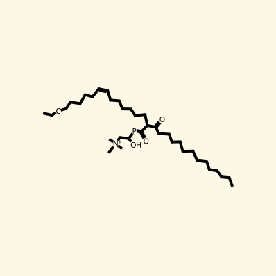 CCCCCCCC/C=C\CCCCCCC(C(=O)CCCCCCCCCCCCC)C(=O)[P-]C(O)C[N+](C)(C)C